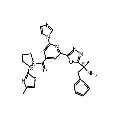 Cc1csc([C@H]2CCCN2C(=O)c2cc(-c3nnc([C@](C)(N)Cc4ccccc4)o3)nc(-n3ccnc3)c2)n1